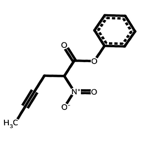 CC#CCC(C(=O)Oc1ccccc1)[N+](=O)[O-]